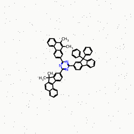 Cc1c(C)c2cc(-c3nc(-c4ccc5c(c4)C(C)(C)c4ccc6ccccc6c4-5)nc(-c4ccc5c(c4)C(c4ccccc4)(c4ccccc4)c4ccccc4-5)n3)ccc2c2ccccc12